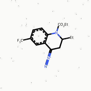 CCOC(=O)N1c2ccc(C(F)(F)F)cc2C(=[N+]=[N-])CC1CC